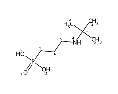 CC(C)(C)NCCCP(=O)(O)O